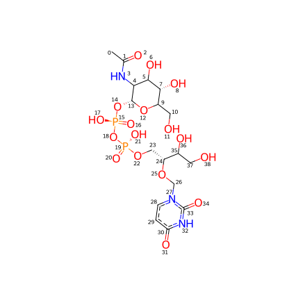 CC(=O)NC1C(O)[C@H](O)C(CO)O[C@@H]1O[P@@](=O)(O)O[P@@](=O)(O)OC[C@@H](OCn1ccc(=O)[nH]c1=O)C(O)CO